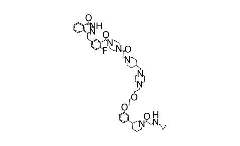 O=C(CN1CCC(CN2CCN(CCOCCOc3cccc(C4CCCN(C(=O)CNC5CC5)C4)c3)CC2)CC1)N1CCN(C(=O)c2cc(Cc3n[nH]c(=O)c4ccccc34)ccc2F)CC1